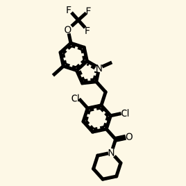 Cc1cc(OC(F)(F)F)cc2c1cc(Cc1c(Cl)ccc(C(=O)N3CCCCC3)c1Cl)n2C